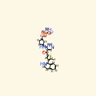 Cc1sc(C(=O)c2cncnc2N[C@H]2CC[C@@H](COS(N)(=O)=O)C2)cc1C1NCCc2ccccc21